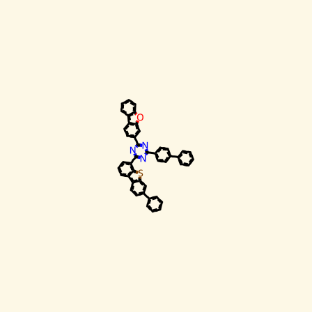 c1ccc(-c2ccc(-c3nc(-c4ccc5c(c4)oc4ccccc45)nc(-c4cccc5c4sc4cc(-c6ccccc6)ccc45)n3)cc2)cc1